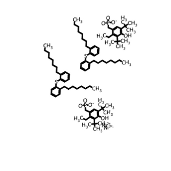 CCCCCCCCc1ccccc1Sc1ccccc1CCCCCCCC.CCCCCCCCc1ccccc1Sc1ccccc1CCCCCCCC.CCc1c(CP(=O)([O-])[O-])cc(C(C)(C)C)c(O)c1C(C)(C)C.CCc1c(CP(=O)([O-])[O-])cc(C(C)(C)C)c(O)c1C(C)(C)C.[Ni+2].[Ni+3]